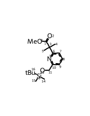 COC(=O)C(C)(C)c1cccc(CO[Si](C)(C)C(C)(C)C)n1